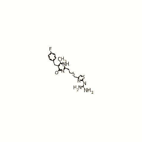 Cc1[nH]c(CCSCc2csc(N=C(N)N)n2)nc(=O)c1Cc1ccc(F)cc1